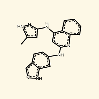 Cc1cc(Nc2cc(Nc3ccc4cn[nH]c4c3)nc3ccccc23)n[nH]1